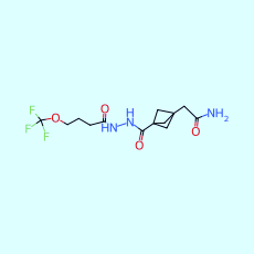 NC(=O)CC12CC(C(=O)NNC(=O)CCCOC(F)(F)F)(C1)C2